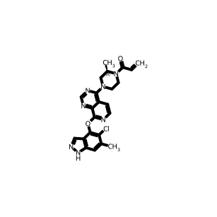 C=CC(=O)N1CCN(c2ncnc3c(Oc4c(Cl)c(C)cc5[nH]ncc45)nccc23)C[C@H]1C